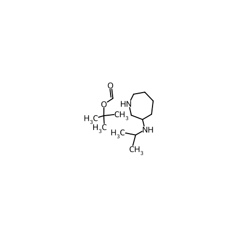 CC(C)(C)OC=O.CC(C)NC1CCCCNC1